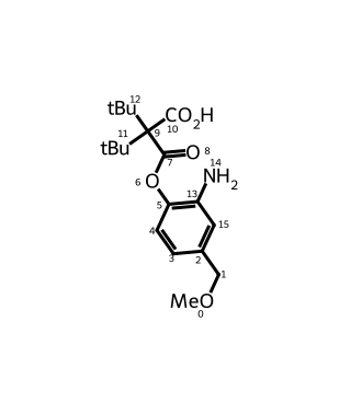 COCc1ccc(OC(=O)C(C(=O)O)(C(C)(C)C)C(C)(C)C)c(N)c1